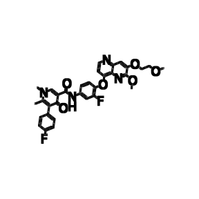 COCCOc1cc2nccc(Oc3ccc(NC(=O)c4cn(C)c(C)c(-c5ccc(F)cc5)c4=O)cc3F)c2nc1OC